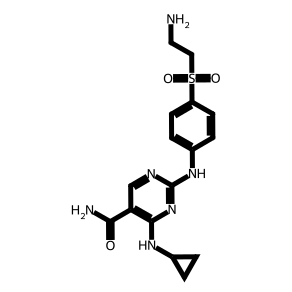 NCCS(=O)(=O)c1ccc(Nc2ncc(C(N)=O)c(NC3CC3)n2)cc1